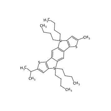 CCCC[Si]1(CCCC)c2cc3c(cc2-c2sc(C)cc21)[Si](CCCC)(CCCC)c1cc(C(C)C)sc1-3